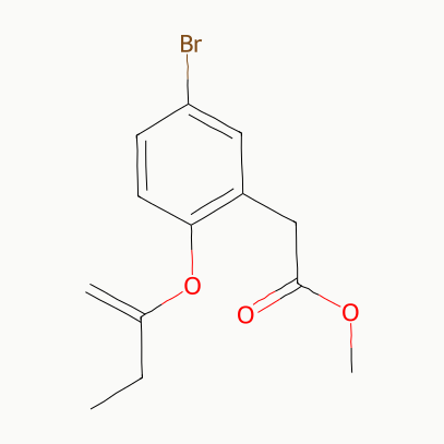 C=C(CC)Oc1ccc(Br)cc1CC(=O)OC